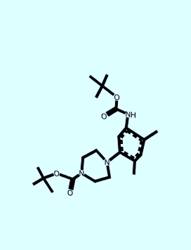 Cc1cc(C)c(N2CCN(C(=O)OC(C)(C)C)CC2)cc1NC(=O)OC(C)(C)C